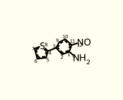 Nc1cc(-c2cccs2)ccc1N=O